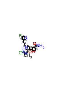 CN(C[C@H]1CN(CCCc2cncc(F)c2)CC[C@]1(O)c1cccc(C(N)=O)c1)NCl